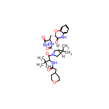 CC(C)(C)C(NC(=O)CC1CCOCC1)C(=O)N1C[C@H]2[C@@H]([C@H]1C(=O)NC(C[C@@H]1Oc3ccccc3NC1=O)C(N)=O)C2(C)C